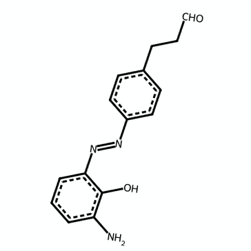 Nc1cccc(N=Nc2ccc(CCC=O)cc2)c1O